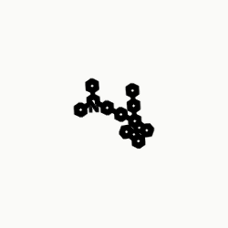 c1ccc(-c2ccc(-c3cc4c(cc3-c3ccc(-c5ccc(-c6cc(-c7ccccc7)cc(-c7ccccc7)n6)cc5)cc3)C3(c5ccccc5-c5ccccc53)c3ccccc3-4)cc2)cc1